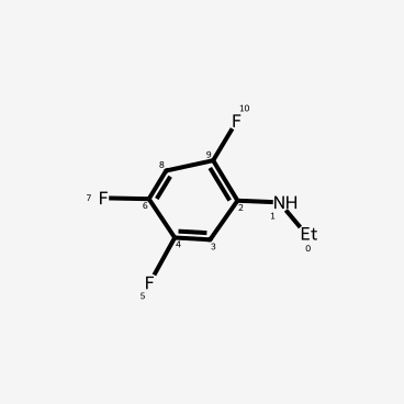 CCNc1cc(F)c(F)cc1F